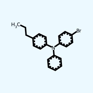 CCCc1ccc(N(c2ccccc2)c2ccc(Br)cc2)cc1